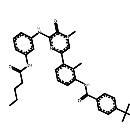 CCCCC(=O)Nc1cccc(Nc2nc(-c3cccc(NC(=O)c4ccc(C(C)(C)C)cc4)c3C)cn(C)c2=O)c1